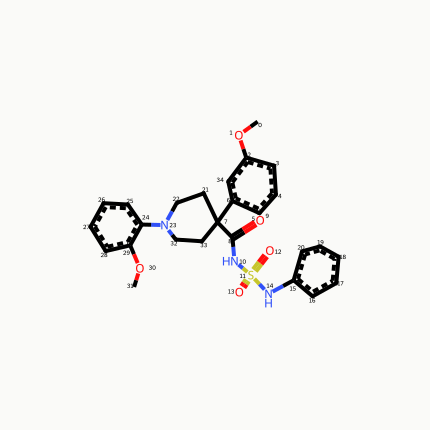 COc1cccc(C2(C(=O)NS(=O)(=O)Nc3ccccc3)CCN(c3ccccc3OC)CC2)c1